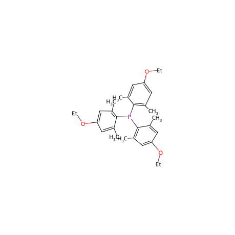 CCOc1cc(C)c(P(c2c(C)cc(OCC)cc2C)c2c(C)cc(OCC)cc2C)c(C)c1